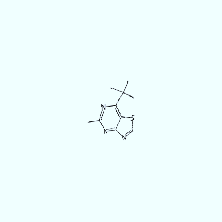 Cc1nc(C(C)(C)C)c2scnc2n1